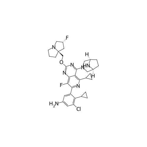 Nc1cc(Cl)c(C2CC2)c(-c2nc(C3CC3)c3c(N4C[C@H]5CC[C@@H](C4)N5)nc(OC[C@@]45CCCN4C[C@H](F)C5)nc3c2F)c1